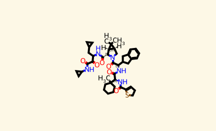 CC1([C@H](NC(=O)C2=CCCS2)C(=O)N[C@H](C(=O)N2C[C@H]3[C@@H]([C@H]2C(=O)NC(CC2CC2)C(=O)C(=O)NC2CC2)C3(C)C)C2Cc3ccccc3C2)CCCCC1